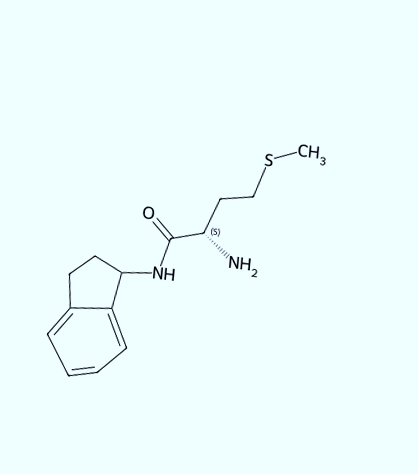 CSCC[C@H](N)C(=O)NC1CCc2ccccc21